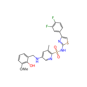 COc1cccc(CNc2cnc(S(=O)(=O)Nc3nc(-c4ccc(F)c(F)c4)cs3)c(C)c2)c1O